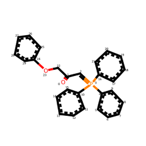 O=C(C=P(c1ccccc1)(c1ccccc1)c1ccccc1)COc1ccccc1